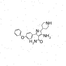 NC(=O)C1=C(N)C(C2CCNCC2)N=C1c1ccc(Oc2ccccc2)cc1